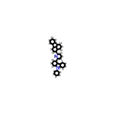 c1ccc(-n2c3ccccc3c3c(-c4cccc(-c5ccc6c7c(cccc57)-c5ccccc5-6)n4)cccc32)cc1